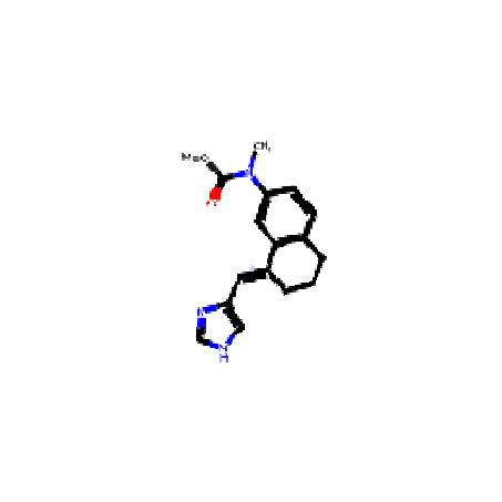 COC(=O)N(C)c1ccc2c(c1)/C(=C/c1c[nH]cn1)CCC2